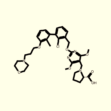 COc1nc(OCc2cccc(-c3cccc(OCCCN4CCOCC4)c3C)c2Cl)nc(OC)c1CN1CCC[C@H]1C(=O)O